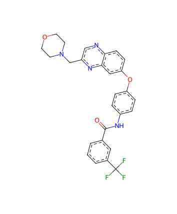 O=C(Nc1ccc(Oc2ccc3ncc(CN4CCOCC4)nc3c2)cc1)c1cccc(C(F)(F)F)c1